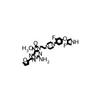 Cn1c(=O)n(CCN2CCN(c3ccc(O[C@H]4CNC[C@H]4F)cc3F)CC2)c2nc(N)n3nc(-c4ccco4)nc3c21